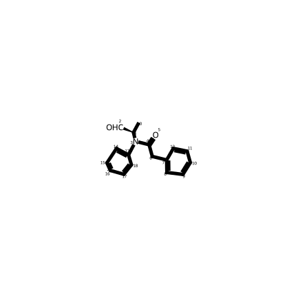 C[C@H](C=O)N(C(=O)Cc1ccccc1)c1cc[c]cc1